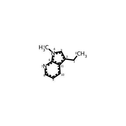 CCc1cn(C)c2ncccc12